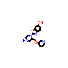 Oc1ccc2nc(N3CCNCC3COc3cccnc3)sc2c1